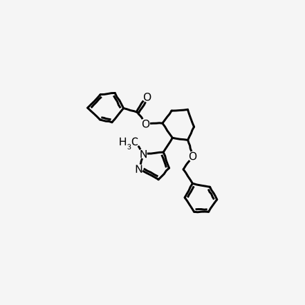 Cn1nccc1C1C(OCc2ccccc2)CCCC1OC(=O)c1ccccc1